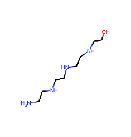 NCCNCCNCCNCCO